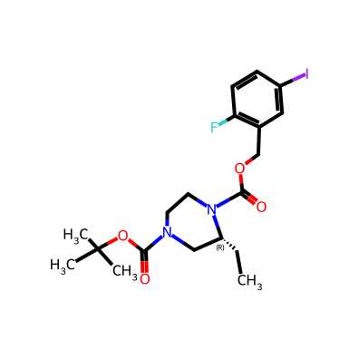 CC[C@@H]1CN(C(=O)OC(C)(C)C)CCN1C(=O)OCc1cc(I)ccc1F